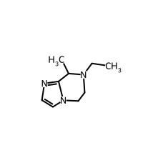 CCN1CCn2ccnc2C1C